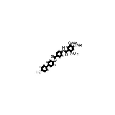 COc1cc(OC)c(C(=O)Nc2ccc(C(=O)Oc3ccc(-c4ccc(O)cc4)cc3)cc2)cc1OC